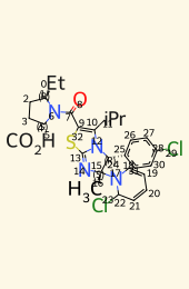 CC[C@@H]1CC[C@@H](C(=O)O)N1C(=O)C1=C(C(C)C)N2C(=N[C@@](C)(N3C=CC=CC3Cl)[C@H]2c2ccc(Cl)cc2)S1